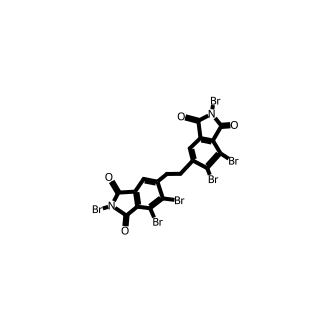 O=C1c2cc(CCc3cc4c(c(Br)c3Br)C(=O)N(Br)C4=O)c(Br)c(Br)c2C(=O)N1Br